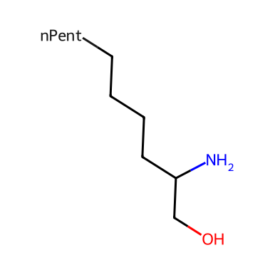 CCCCCCCCCC(N)CO